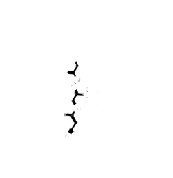 CCC(=O)NN=C(C=NC(Cl)=CC#N)N(C)C